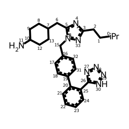 CC(C)CCc1nc(CC2CCC(N)CC2)n(Cc2ccc(-c3ccccc3-c3nnn[nH]3)cc2)n1